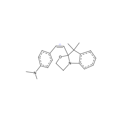 CN(C)c1ccc(/C=C\C23OCCN2c2ccccc2C3(C)C)cc1